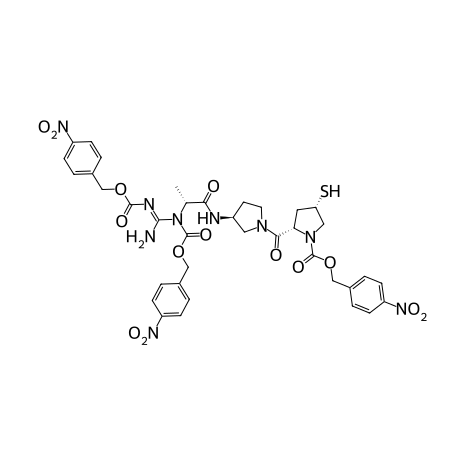 C[C@H](C(=O)N[C@H]1CCN(C(=O)[C@@H]2C[C@H](S)CN2C(=O)OCc2ccc([N+](=O)[O-])cc2)C1)N(C(=O)OCc1ccc([N+](=O)[O-])cc1)C(N)=NC(=O)OCc1ccc([N+](=O)[O-])cc1